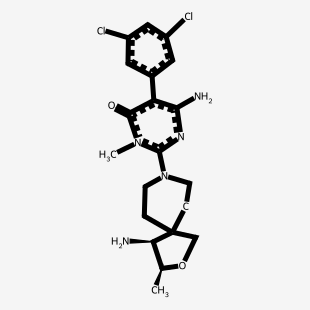 C[C@@H]1OCC2(CCN(c3nc(N)c(-c4cc(Cl)cc(Cl)c4)c(=O)n3C)CC2)[C@@H]1N